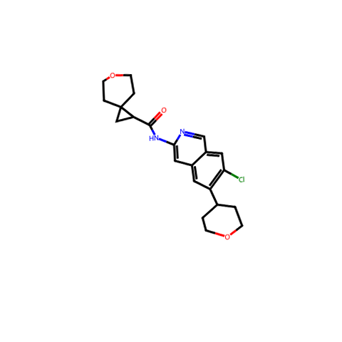 O=C(Nc1cc2cc(C3CCOCC3)c(Cl)cc2cn1)C1CC12CCOCC2